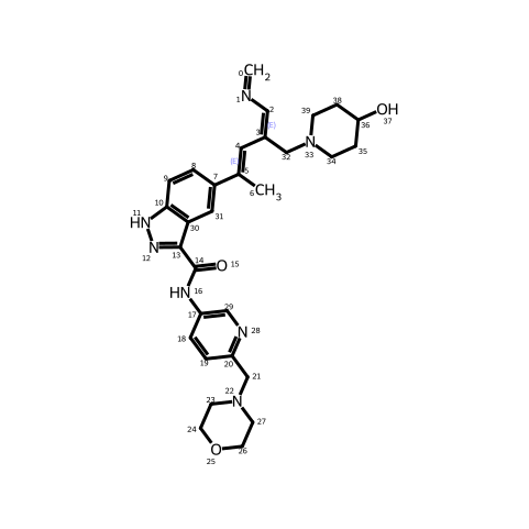 C=N/C=C(\C=C(/C)c1ccc2[nH]nc(C(=O)Nc3ccc(CN4CCOCC4)nc3)c2c1)CN1CCC(O)CC1